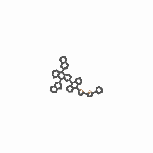 c1ccc(-c2ccc(-c3ccc(-c4c5ccccc5c(-c5ccc6c(-c7ccc8ccccc8c7)c7ccccc7c(-c7ccc8ccccc8c7)c6c5)c5ccccc45)s3)s2)cc1